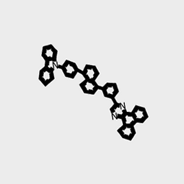 c1cc(-c2cnc3c4ccccc4c4ccccc4c3n2)cc(-c2cccc3c(-c4ccc(-n5c6ccccc6c6ccccc65)cc4)cccc23)c1